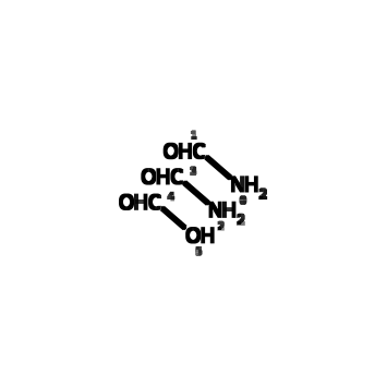 NC=O.NC=O.O=CO